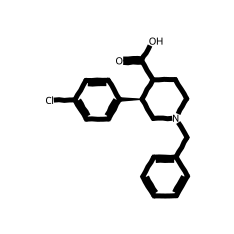 O=C(O)C1CCN(Cc2ccccc2)C[C@H]1c1ccc(Cl)cc1